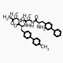 Cc1ccc(-c2ccc(C[C@H](NC(=O)[C@H](C)NC(=O)[C@@H](N)Cc3ccc(-c4ccccc4)cc3)C(=O)N[C@@H](C)C(N)=O)cc2)cc1